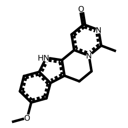 COc1ccc2[nH]c3c(c2c1)CCn1c-3cc(=O)nc1C